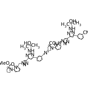 COC(=O)[C@@H]1CCCN1c1cccc(Cn2cc(-c3cc(-c4cccc(C#[N+]C5C[C@@H](C(=O)O)N(c6cccc(Cn7cc(-c8cc(-c9cccc(C#N)c9)nc(NCC(C)(C)O)n8)nn7)n6)C5)c4)nc(NCC(C)(C)O)n3)nn2)n1